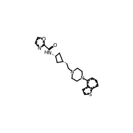 O=C(N[C@H]1C[C@@H](CCN2CCN(c3cccc4sccc34)CC2)C1)c1ncco1